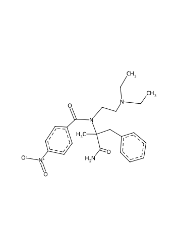 CCN(CC)CCN(C(=O)c1ccc([N+](=O)[O-])cc1)C(C)(Cc1ccccc1)C(N)=O